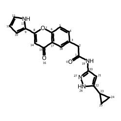 O=C(Cc1ccc2oc(-c3ccc[nH]3)cc(=O)c2c1)Nc1cc(C2CC2)[nH]n1